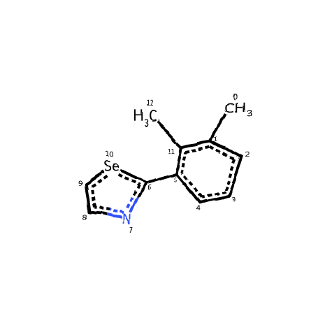 Cc1cccc(-c2ncc[se]2)c1C